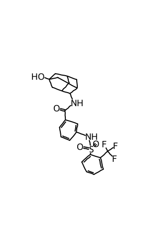 O=C(NC1C2CC3CC1CC(O)(C3)C2)c1cccc(NS(=O)(=O)c2ccccc2C(F)(F)F)c1